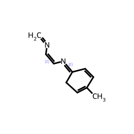 C=N/C=C\N=C1\C=CC(C)=CC1